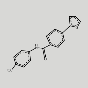 CC(C)(C)c1ccc(NC(=O)c2ccc(-c3cccs3)cc2)cc1